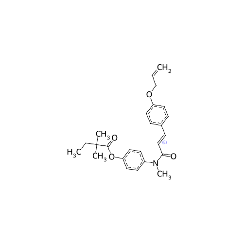 C=CCOc1ccc(/C=C/C(=O)N(C)c2ccc(OC(=O)C(C)(C)CC)cc2)cc1